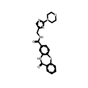 O=C(NCc1cnc(N2CCOCC2)s1)c1ccc2c(c1)NC(=O)c1ccccc1S2